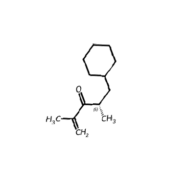 C=C(C)C(=O)[C@@H](C)CC1CCCCC1